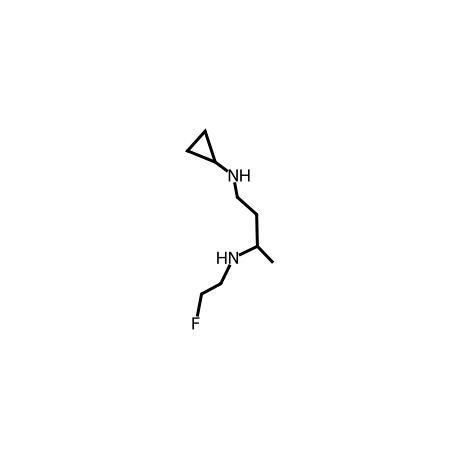 CC(CCNC1CC1)NCCF